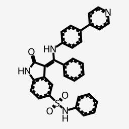 O=C1Nc2ccc(S(=O)(=O)Nc3ccccc3)cc2/C1=C(/Nc1ccc(-c2ccncc2)cc1)c1ccccc1